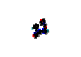 Fc1ccccc1Cn1nc(-c2ncc(F)c(OCCN3CCOCC3)n2)cc1-c1ccon1